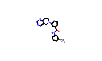 O=C(Nc1cccc(C(F)(F)F)c1)c1cccc(N2CCc3ncncc3C2)c1